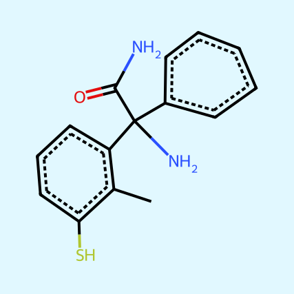 Cc1c(S)cccc1C(N)(C(N)=O)c1ccccc1